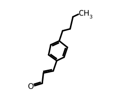 CCCCc1ccc(C=CC=O)cc1